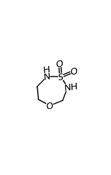 O=S1(=O)NCCOCN1